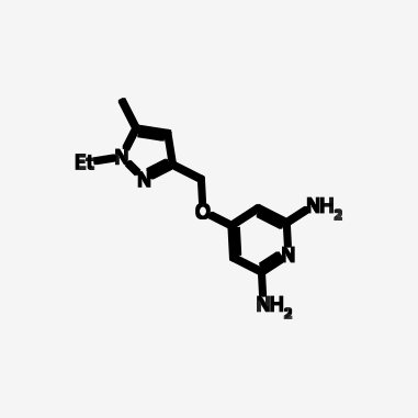 CCn1nc(COc2cc(N)nc(N)c2)cc1C